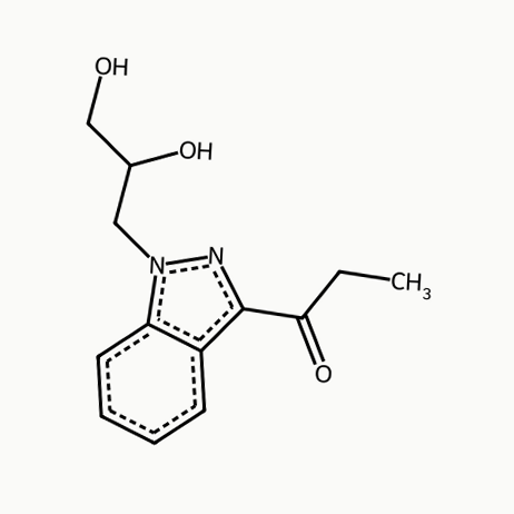 CCC(=O)c1nn(CC(O)CO)c2ccccc12